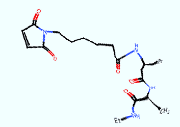 CCNC(=O)[C@H](C)NC(=O)[C@@H](NC(=O)CCCCCN1C(=O)C=CC1=O)C(C)C